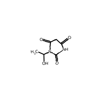 CC(O)N1C(=O)CC(=O)NC1=O